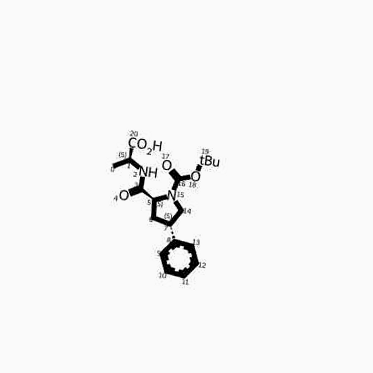 C[C@H](NC(=O)[C@@H]1C[C@@H](c2ccccc2)CN1C(=O)OC(C)(C)C)C(=O)O